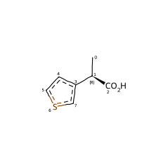 C[C@@H](C(=O)O)c1ccsc1